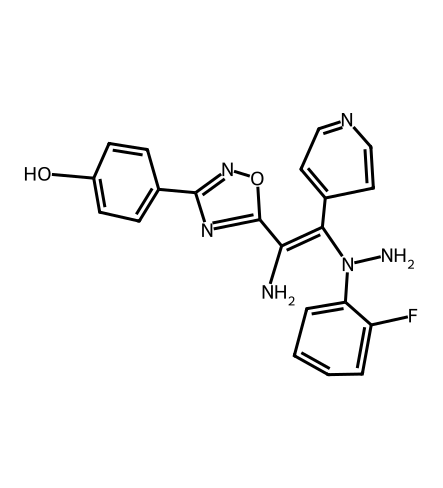 N/C(=C(/c1ccncc1)N(N)c1ccccc1F)c1nc(-c2ccc(O)cc2)no1